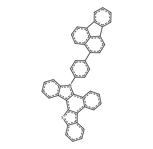 c1ccc2c(c1)-c1cccc3c(-c4ccc(-n5c6ccccc6c6c7sc8ccccc8c7c7ccccc7c65)cc4)ccc-2c13